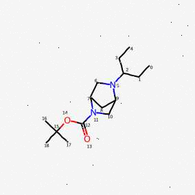 CCC(CC)N1CC2CC1CN2C(=O)OC(C)(C)C